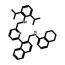 CC(C)c1cccc(C(C)C)c1NCc1cccc(-c2c(CNc3cccc4c3CCCC4)ccc3ccccc23)n1